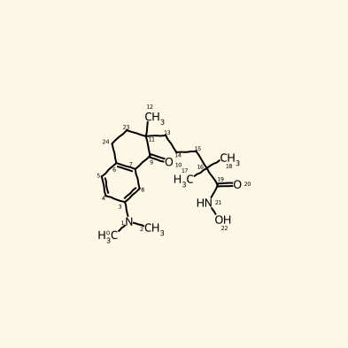 CN(C)c1ccc2c(c1)C(=O)C(C)(CCCC(C)(C)C(=O)NO)CC2